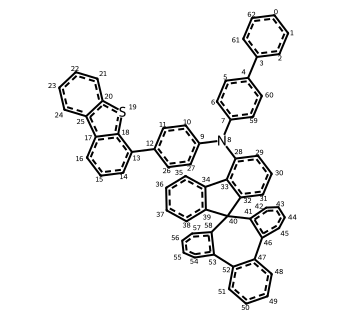 c1ccc(-c2ccc(N(c3ccc(-c4cccc5c4sc4ccccc45)cc3)c3cccc4c3-c3ccccc3C43c4ccccc4-c4ccccc4-c4ccccc43)cc2)cc1